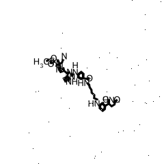 CCS(=O)(=O)N1CC(CC#N)(n2cc(-c3nc(Nc4ccc(C(=O)NCCCCCCCNc5cccc(C6CCC(=O)NC6=O)c5)cc4)nc4[nH]ccc34)cn2)C1